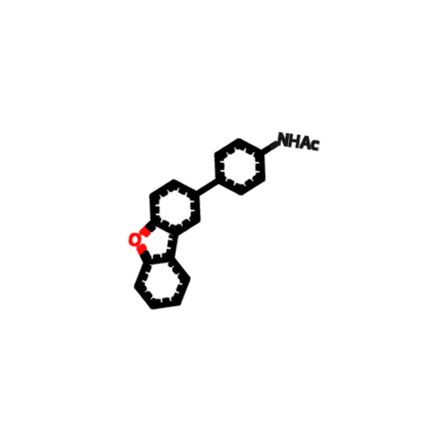 CC(=O)Nc1ccc(-c2ccc3oc4ccccc4c3c2)cc1